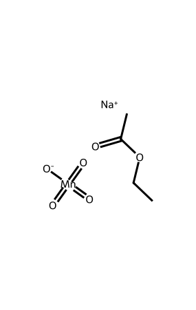 CCOC(C)=O.[Na+].[O]=[Mn](=[O])(=[O])[O-]